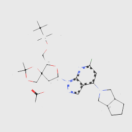 CC(=O)O[C@H]1[C@H](n2ncc3c(N4C[C@H]5CCC[C@H]5C4)cc(Cl)nc32)O[C@H](CO[Si](C)(C)C(C)(C)C)C12COC(C)(C)O2